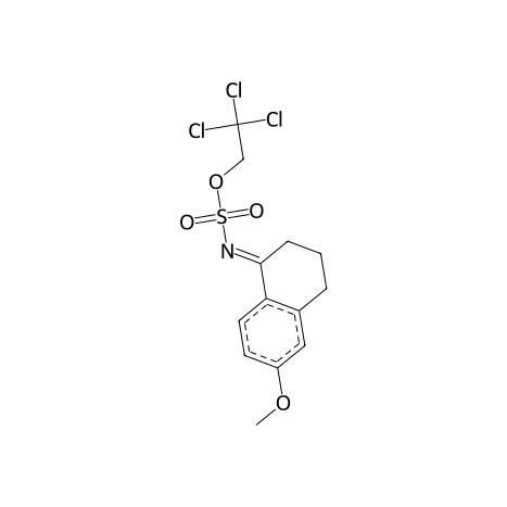 COc1ccc2c(c1)CCCC2=NS(=O)(=O)OCC(Cl)(Cl)Cl